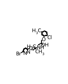 Cc1ccc(Cl)c(OCC(O)CNC(C)(C)COc2ccc(Br)nn2)c1